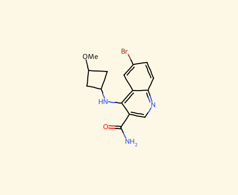 COC1CC(Nc2c(C(N)=O)cnc3ccc(Br)cc23)C1